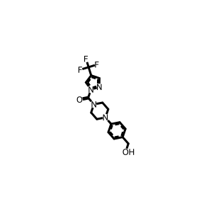 O=C(N1CCN(c2ccc(CO)cc2)CC1)n1cc(C(F)(F)F)cn1